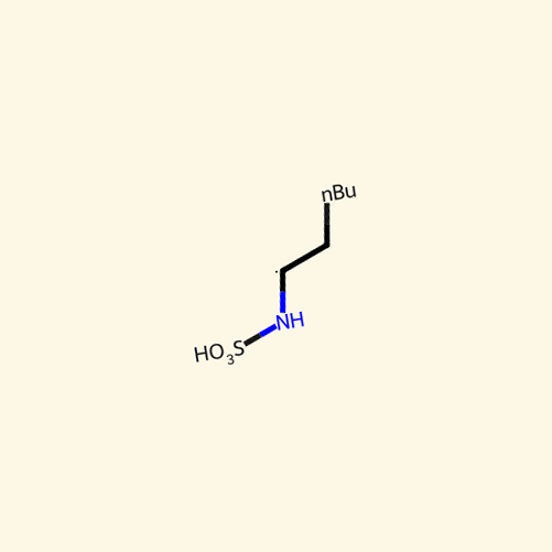 CCCCC[CH]NS(=O)(=O)O